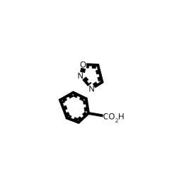 O=C(O)c1ccccc1.c1conn1